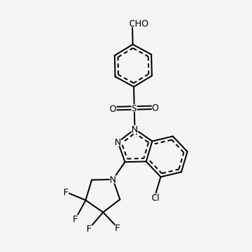 O=Cc1ccc(S(=O)(=O)n2nc(N3CC(F)(F)C(F)(F)C3)c3c(Cl)cccc32)cc1